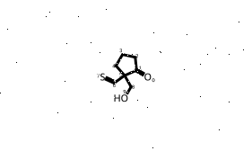 O=C1CCCC1(C=S)CO